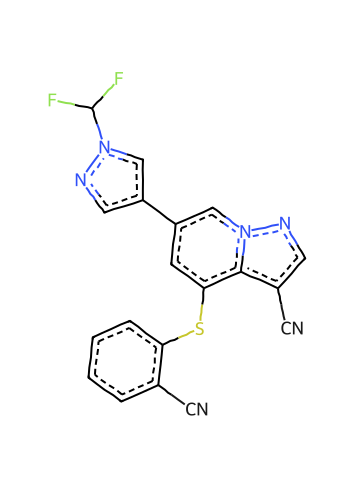 N#Cc1ccccc1Sc1cc(-c2cnn(C(F)F)c2)cn2ncc(C#N)c12